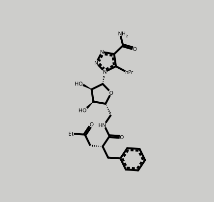 CCCc1c(C(N)=O)nnn1[C@@H]1O[C@H](CNC(=O)[C@@H](CC(=O)CC)Cc2ccccc2)[C@@H](O)[C@H]1O